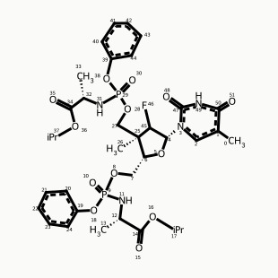 Cc1cn([C@@H]2O[C@H](COP(=O)(N[C@@H](C)C(=O)OC(C)C)Oc3ccccc3)[C@@](C)(COP(=O)(N[C@@H](C)C(=O)OC(C)C)Oc3ccccc3)C2F)c(=O)[nH]c1=O